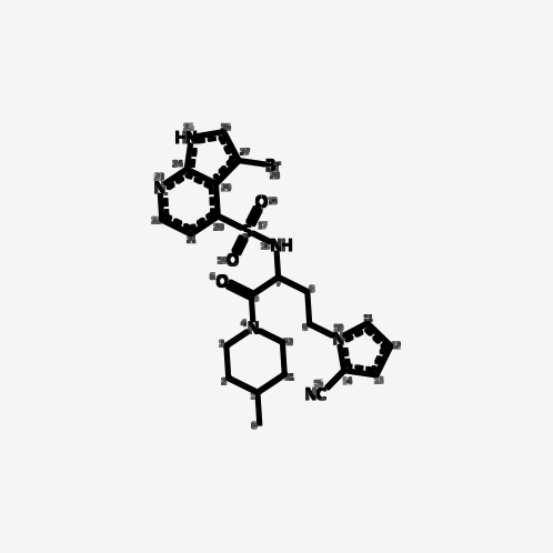 CC1CCN(C(=O)C(CCn2cccc2C#N)NS(=O)(=O)c2ccnc3[nH]cc(Br)c23)CC1